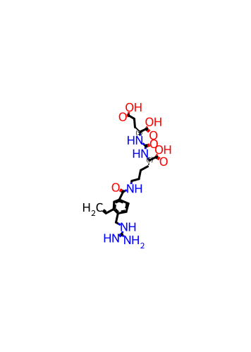 C=Cc1cc(C(=O)NCCCC[C@H](NC(=O)N[C@@H](CCC(=O)O)C(=O)O)C(=O)O)ccc1CNC(=N)N